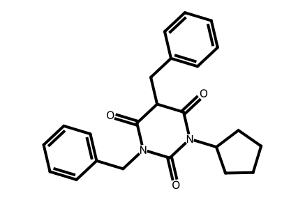 O=C1C(Cc2ccccc2)C(=O)N(C2CCCC2)C(=O)N1Cc1ccccc1